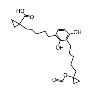 O=COC1(CCCCCc2c(O)ccc(CCCCCC3(C(=O)O)CC3)c2O)CC1